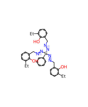 CCc1cccc(C/N=N/[Si](/N=N/Cc2cccc(CC)c2O)(/N=N/Cc2cccc(CC)c2O)c2ccccc2)c1O